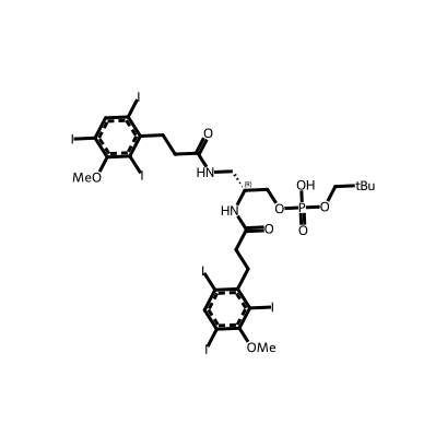 COc1c(I)cc(I)c(CCC(=O)NC[C@H](COP(=O)(O)OCC(C)(C)C)NC(=O)CCc2c(I)cc(I)c(OC)c2I)c1I